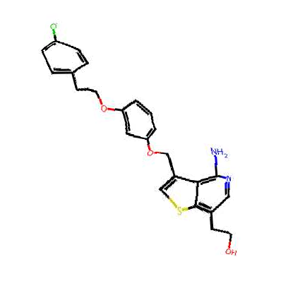 Nc1ncc(CCO)c2scc(COc3cccc(OCCc4ccc(Cl)cc4)c3)c12